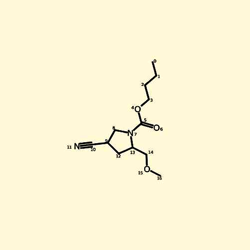 CCCCOC(=O)N1CC(C#N)CC1COC